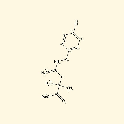 C=C(CC(C)(C)C(=O)OC)NCc1ccc(Cl)cc1